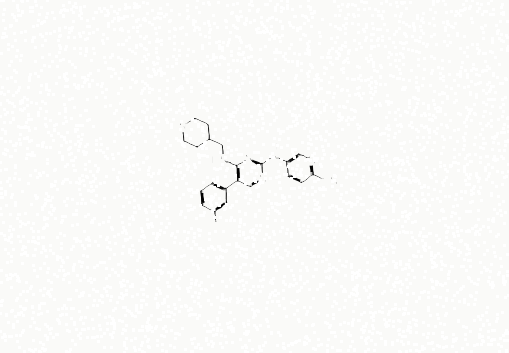 Cc1cccc(-c2cnc(Nc3ccc(C#N)nc3)nc2NCC2CCNCC2)c1